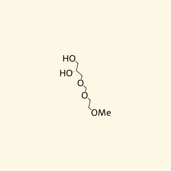 COCCOCOC[C@H](O)CO